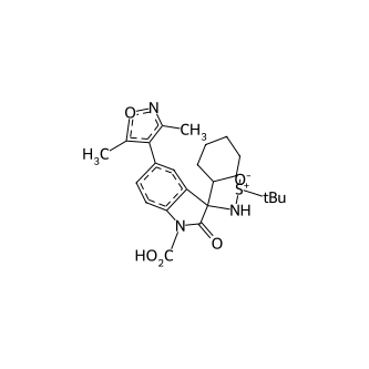 Cc1noc(C)c1-c1ccc2c(c1)C(N[S+]([O-])C(C)(C)C)(C1CCCCC1)C(=O)N2C(=O)O